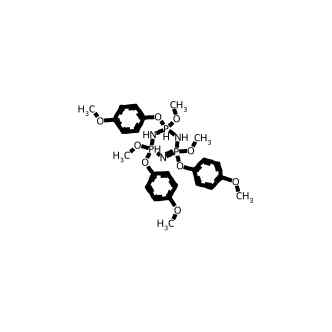 COc1ccc(OP2(OC)=N[PH](OC)(Oc3ccc(OC)cc3)N[PH](OC)(Oc3ccc(OC)cc3)N2)cc1